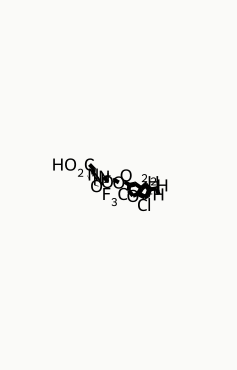 [2H]C([2H])([2H])c1cc(Cl)c2c(c1)C=C(C(=O)OCON=[N+]([O-])N(C)CC(=O)O)C(C(F)(F)F)O2